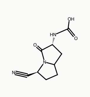 N#C[C@@H]1CCC2C[C@@H](NC(=O)O)C(=O)N21